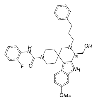 COc1ccc2c3c([nH]c2c1)[C@H](CO)N(CCCc1ccccc1)CC31CCN(C(=O)Nc2ccccc2F)CC1